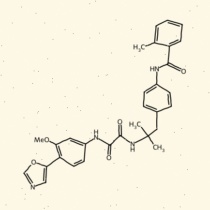 COc1cc(NC(=O)C(=O)NC(C)(C)Cc2ccc(NC(=O)c3ccccc3C)cc2)ccc1-c1cnco1